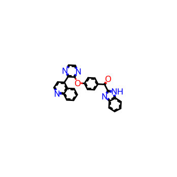 O=C(c1ccc(Oc2nccnc2-c2ccnc3ccccc23)cc1)c1nc2ccccc2[nH]1